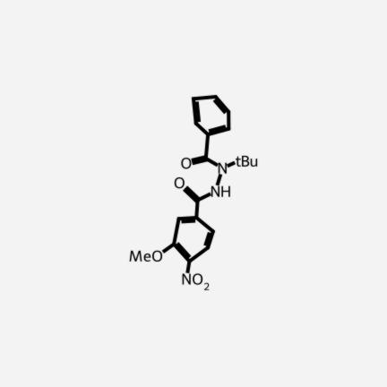 COc1cc(C(=O)NN(C(=O)c2ccccc2)C(C)(C)C)ccc1[N+](=O)[O-]